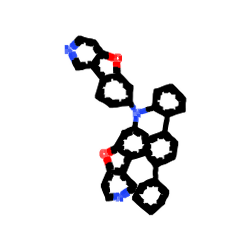 c1ccc(-c2ccc(-c3ccccc3N(c3ccc4c(c3)oc3ccncc34)c3ccc4c(c3)oc3ccncc34)cc2)cc1